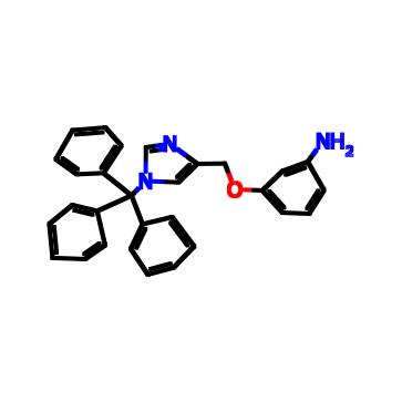 Nc1cccc(OCc2cn(C(c3ccccc3)(c3ccccc3)c3ccccc3)cn2)c1